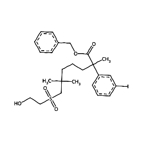 CC(C)(CCCC(C)(C(=O)OCc1ccccc1)c1cccc(I)c1)CS(=O)(=O)CCO